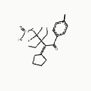 CCC(CC)(C(C(=O)c1ccc(C)cc1)=C1CCCC1)C(F)(F)O[PH](=O)O